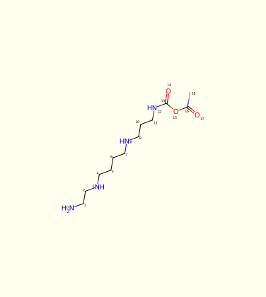 NCCNCCCCNCCCNC(=O)OC(=O)I